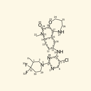 CC1CN(c2ncc(Cl)c(Nc3ccc4c(c3)c3c(c(=O)n4C)OCCCN3)n2)CCC1(F)F